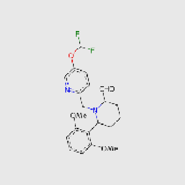 COc1cccc(OC)c1C1CCCC(C=O)N1Cc1ccc(OC(F)F)cn1